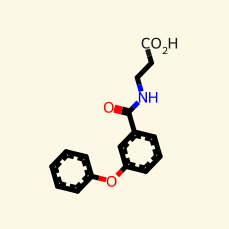 O=C(O)CCNC(=O)c1cccc(Oc2ccccc2)c1